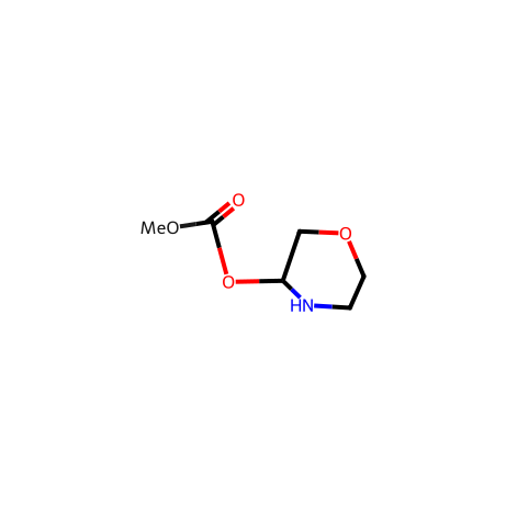 COC(=O)OC1COCCN1